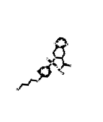 O=C(NO)C1Cc2nccnc2CN1S(=O)(=O)c1ccc(OCCCBr)cc1